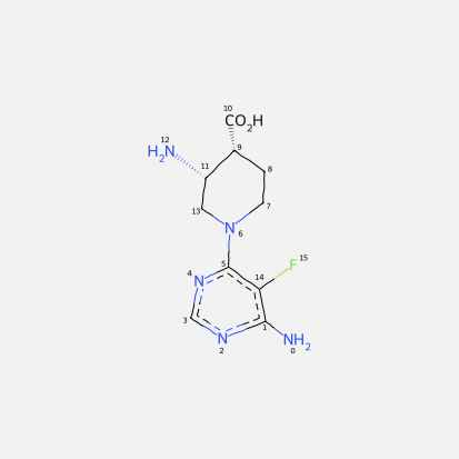 Nc1ncnc(N2CC[C@@H](C(=O)O)[C@@H](N)C2)c1F